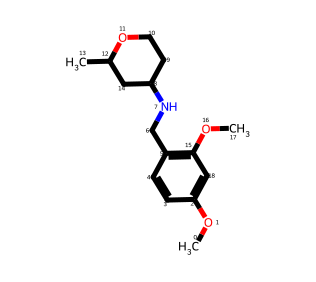 COc1ccc(CNC2CCOC(C)C2)c(OC)c1